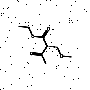 CCOC(=O)[C@H](COC)C(C)=O